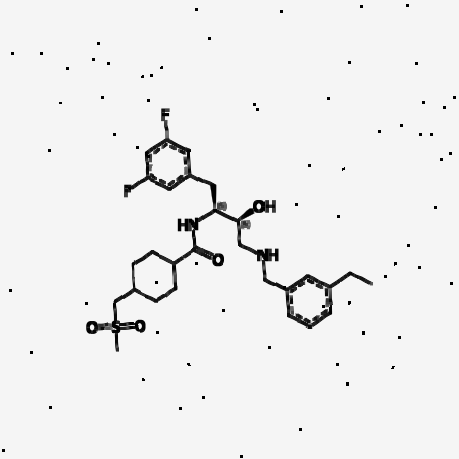 CCc1cccc(CNC[C@H](O)[C@H](Cc2cc(F)cc(F)c2)NC(=O)C2CCC(CS(C)(=O)=O)CC2)c1